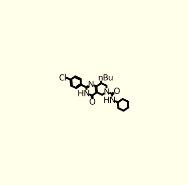 CCCCC1CN(C(=O)NC2CCCCC2)Cc2c1nc(-c1ccc(Cl)cc1)[nH]c2=O